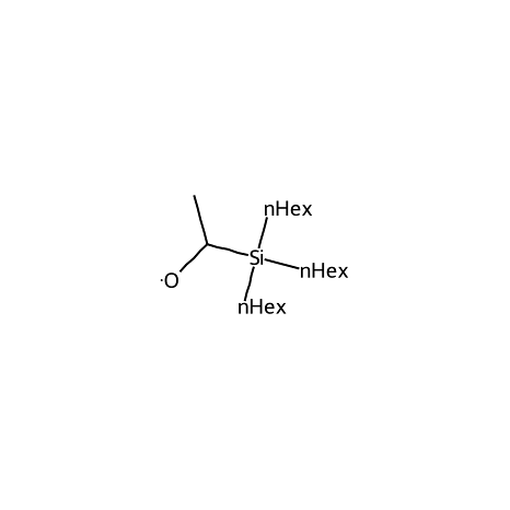 CCCCCC[Si](CCCCCC)(CCCCCC)C(C)[O]